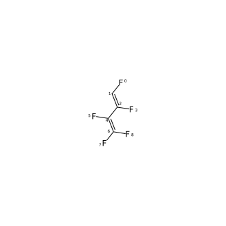 FC=C(F)C(F)=C(F)F